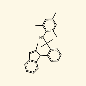 CC1=Cc2ccccc2C1c1ccccc1C(C)(C)Nc1c(C)cc(C)cc1C